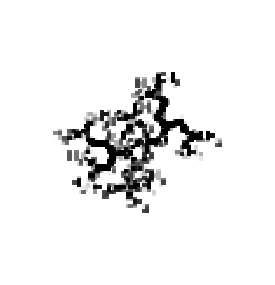 CN(C)CCC(CN(C)C)O[Si](C)(O[Si](C)(C)C)O[Si](C)(OC(CCN(C)C)CN(C)C)O[Si](C)(C)C